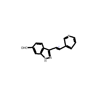 O=Cc1ccc2c(/C=C/c3cccnc3)n[nH]c2c1